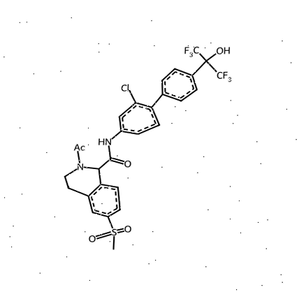 CC(=O)N1CCc2cc(S(C)(=O)=O)ccc2C1C(=O)Nc1ccc(-c2ccc(C(O)(C(F)(F)F)C(F)(F)F)cc2)c(Cl)c1